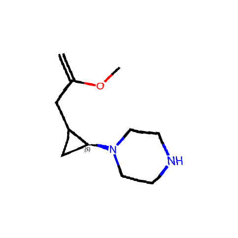 C=C(CC1C[C@@H]1N1CCNCC1)OC